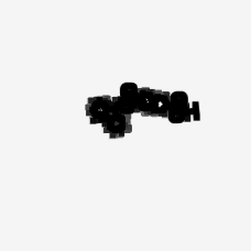 O=C(O)C1CCC2(CC1)CCN(C(=O)OCC1c3ccccc3-c3ccccc31)CC2